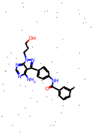 Cc1cccc(C(=O)Nc2ccc(-c3nn(CCCO)c4ncnc(N)c34)cc2)c1